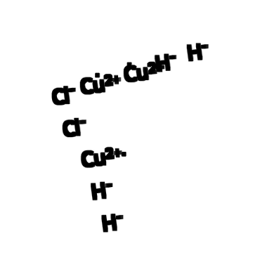 [Cl-].[Cl-].[Cu+2].[Cu+2].[Cu+2].[H-].[H-].[H-].[H-]